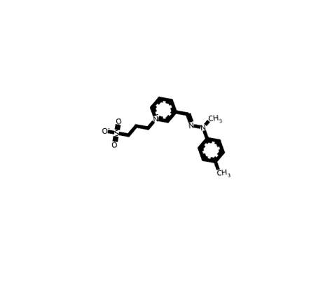 Cc1ccc(N(C)N=Cc2ccc[n+](CCCS(=O)(=O)[O-])c2)cc1